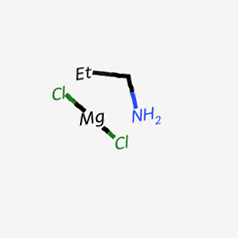 CCCN.[Cl][Mg][Cl]